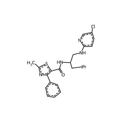 Cc1nc(-c2ccccc2)c(C(=O)NC(CNc2ccc(Cl)cn2)CC(C)C)s1